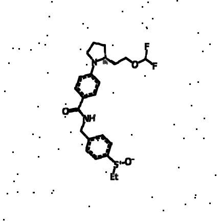 CC[S+]([O-])c1ccc(CNC(=O)c2ccc(N3CCC[C@H]3CCOC(F)F)cc2)cc1